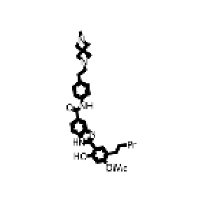 COc1cc(O)c(-c2nc3cc(C(=O)Nc4ccc(CCN5CC6(CN(C)C6)C5)cc4)ccc3[nH]2)cc1CCC(C)C